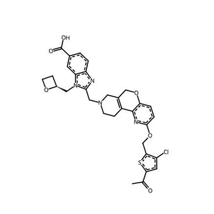 CC(=O)c1cc(Cl)c(COc2ccc3c(n2)C2=C(CO3)CN(Cc3nc4ccc(C(=O)O)cc4n3C[C@@H]3CCO3)CC2)s1